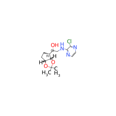 CC1(C)O[C@H]2[C@H]([C@H](O)CNc3nccnc3Cl)CC[C@H]2O1